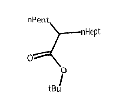 CCCCCCCC(CCCCC)C(=O)OC(C)(C)C